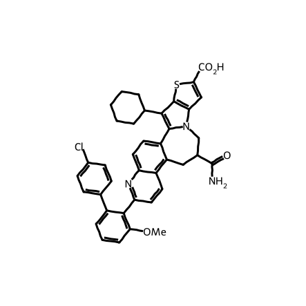 COc1cccc(-c2ccc(Cl)cc2)c1-c1ccc2c3c(ccc2n1)-c1c(C2CCCCC2)c2sc(C(=O)O)cc2n1CC(C(N)=O)C3